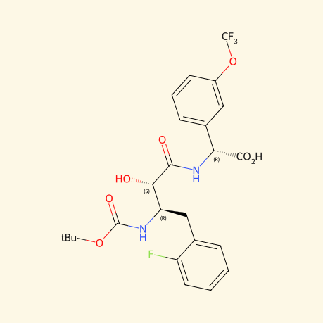 CC(C)(C)OC(=O)N[C@H](Cc1ccccc1F)[C@H](O)C(=O)N[C@@H](C(=O)O)c1cccc(OC(F)(F)F)c1